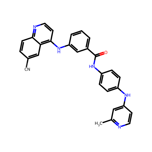 Cc1cc(Nc2ccc(NC(=O)c3cccc(Nc4ccnc5ccc(C#N)cc45)c3)cc2)ccn1